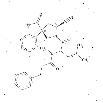 CC(C)CC(C(=O)N1C[C@]2(C[C@H]1C#N)C(=O)Nc1ccccc12)N(C)C(=O)OCc1ccccc1